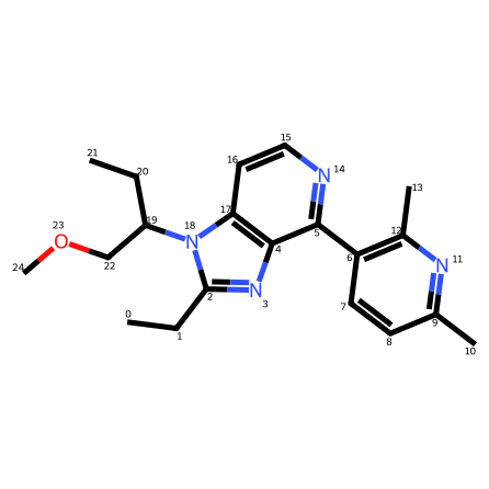 CCc1nc2c(-c3ccc(C)nc3C)nccc2n1C(CC)COC